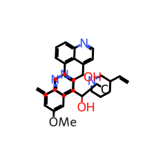 C=CC1CN2CCC1CC2[C@@H](O)c1cc(-c2cccc3nccc([C@H](O)C4CC5CCN4CC5C=C)c23)nc2ccc(OC)cc12